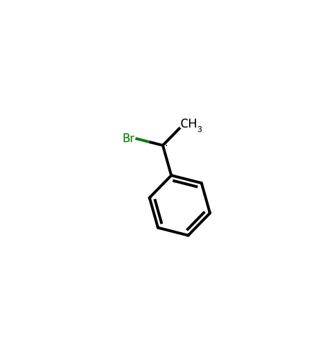 C[C](Br)c1ccccc1